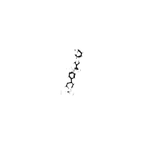 CCC(=O)N1CCC(c2ccc(NC(=O)C3CN(c4cccnc4)C3)cc2)CC1